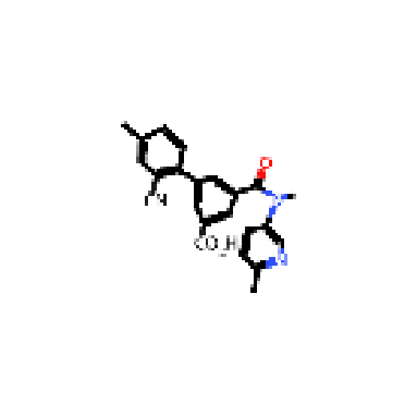 Cc1ccc(-c2cc(C(=O)O)cc(C(=O)N(C)c3ccc(C)nc3)c2)c(C#N)c1